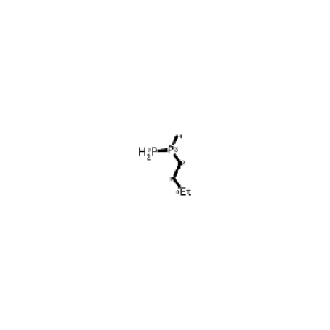 CCCCP(C)P